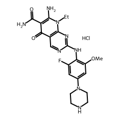 CCn1c(N)c(C(N)=O)c(=O)c2cnc(Nc3c(F)cc(N4CCNCC4)cc3OC)nc21.Cl